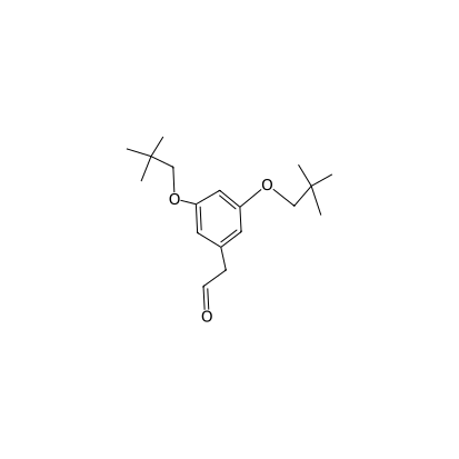 CC(C)(C)COc1cc(CC=O)cc(OCC(C)(C)C)c1